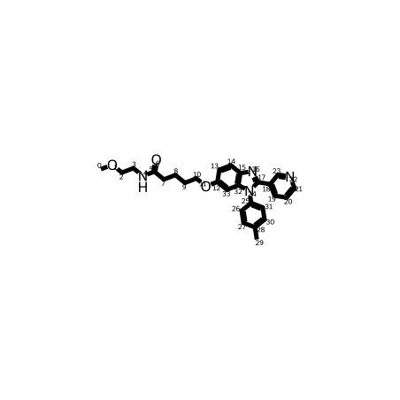 COCCNC(=O)CCCCOc1ccc2nc(-c3cccnc3)n(-c3ccc(C)cc3)c2c1